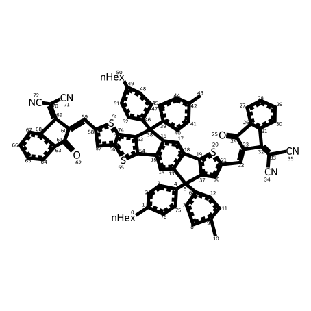 CCCCCCc1ccc(C2(c3ccc(C)cc3)c3cc4c(cc3-c3sc(/C=C5\C(=O)c6ccccc6C5=C(C#N)C#N)cc32)C(c2ccc(C)cc2)(c2ccc(CCCCCC)cc2)c2c-4sc3cc(/C=C4\C(=O)c5ccccc5C4=C(C#N)C#N)sc23)cc1